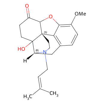 COc1ccc2c3c1OC1C(=O)CCC4(O)[C@@H](C2)N(CC=C(C)C)CC[C@]314